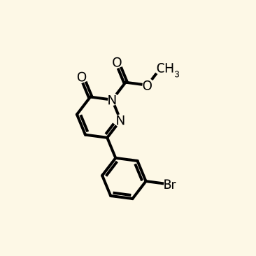 COC(=O)n1nc(-c2cccc(Br)c2)ccc1=O